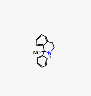 CN1CCc2ccccc2C1(C#N)c1ccccc1